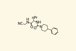 CCCC(NC(=O)N1CCC(c2ccccc2)CC1)C(=O)NCC#N